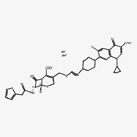 O=C(Cc1cccs1)N[C@@H]1C(=O)N2C(C(=O)[O-])=C(CSC=NN3CCN(c4cc5c(cc4F)c(=O)c(C(=O)[O-])cn5C4CC4)CC3)CS[C@H]12.[Na+].[Na+]